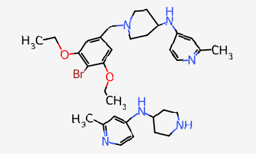 CCOc1cc(CN2CCC(Nc3ccnc(C)c3)CC2)cc(OCC)c1Br.Cc1cc(NC2CCNCC2)ccn1